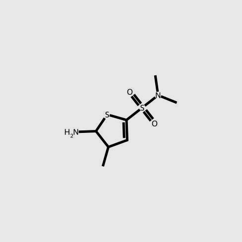 CC1C=C(S(=O)(=O)N(C)C)SC1N